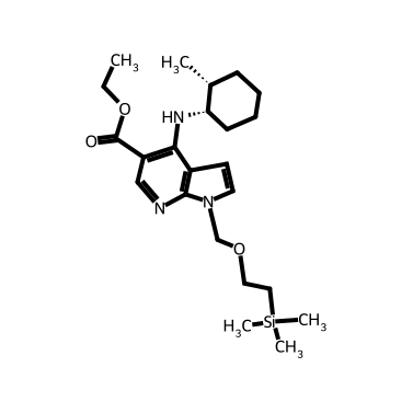 CCOC(=O)c1cnc2c(ccn2COCC[Si](C)(C)C)c1N[C@H]1CCCC[C@H]1C